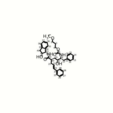 COCCCOC(=O)N[C@@H](Cc1ccccc1)[C@@H](O)C[C@@H](CC=Cc1ccccc1)C(=O)N[C@H]1c2ccccc2C[C@H]1O